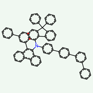 c1ccc(-c2cccc(-c3ccc(-c4ccc(N(c5cccc6c5-c5ccccc5C6(c5ccccc5)c5ccccc5)c5c(-c6cccc(-c7ccccc7)c6)c6ccccc6c6ccccc56)cc4)cc3)c2)cc1